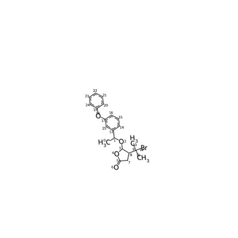 CC(OC1OC(=O)CC1C(C)(C)Br)c1cccc(Oc2ccccc2)c1